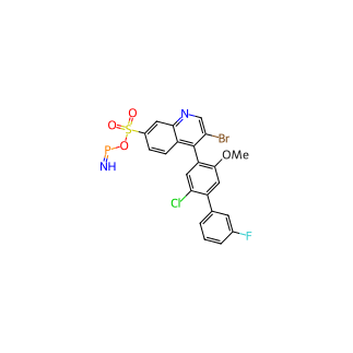 COc1cc(-c2cccc(F)c2)c(Cl)cc1-c1c(Br)cnc2cc(S(=O)(=O)OP=N)ccc12